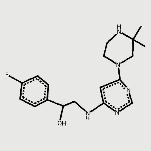 CC1(C)CN(c2cc(NCC(O)c3ccc(F)cc3)ncn2)CCN1